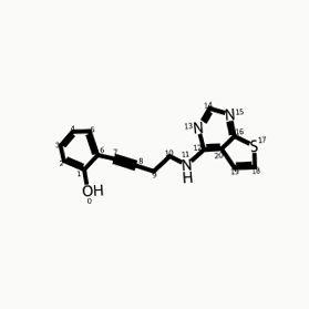 Oc1ccccc1C#CCCNc1ncnc2sccc12